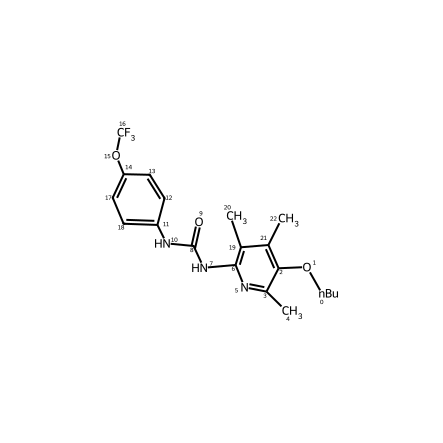 CCCCOc1c(C)nc(NC(=O)Nc2ccc(OC(F)(F)F)cc2)c(C)c1C